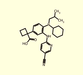 CC(C)CN(c1ccc(C2(C(=O)O)CCC2)cc1Nc1ccc(C#N)cn1)C1CCCCC1